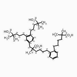 CC(C)(CCCCc1ccccc1CCCCC(C)(Cc1ccc(CCCC(C)(C)C(=O)O)c(CCCC(C)(C)C(=O)O)c1)C(=O)O)C(=O)O